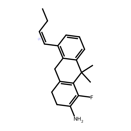 CC/C=C\c1cccc2c1CC1=C(C(F)=C(N)CC1)C2(C)C